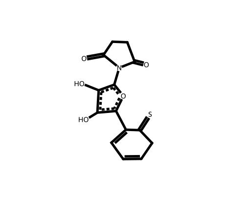 O=C1CCC(=O)N1c1oc(C2=CC=CCC2=S)c(O)c1O